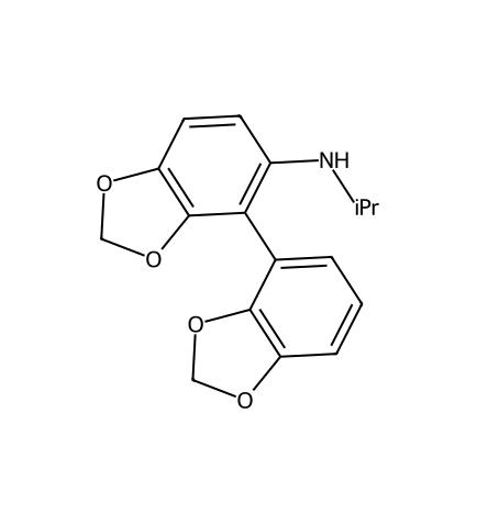 CC(C)Nc1ccc2c(c1-c1cccc3c1OCO3)OCO2